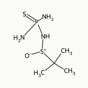 CC(C)(C)[S+]([O-])NP(N)(N)=S